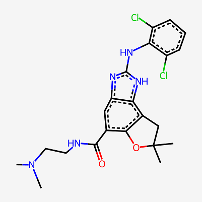 CN(C)CCNC(=O)c1cc2nc(Nc3c(Cl)cccc3Cl)[nH]c2c2c1OC(C)(C)C2